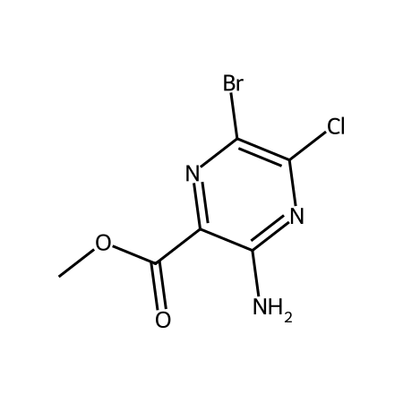 COC(=O)c1nc(Br)c(Cl)nc1N